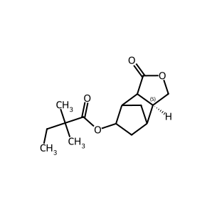 CCC(C)(C)C(=O)OC1CC2CC1C1C(=O)OC[C@@H]21